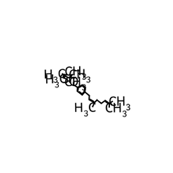 CC(C)=CCCC(C)=CCc1ccc(CO[Si](C)(C)C(C)(C)C)cc1